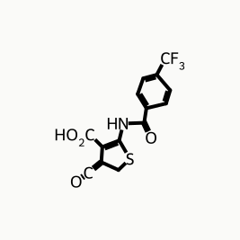 O=C=C1CSC(NC(=O)c2ccc(C(F)(F)F)cc2)=C1C(=O)O